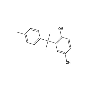 Cc1ccc(C(C)(C)c2cc(O)ccc2O)cc1